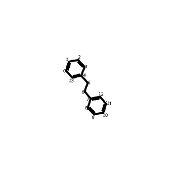 [c]1cc[c]c(CCc2[c]cc[c]c2)c1